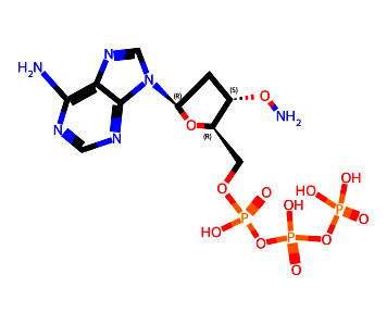 NO[C@H]1C[C@H](n2cnc3c(N)ncnc32)O[C@@H]1COP(=O)(O)OP(=O)(O)OP(=O)(O)O